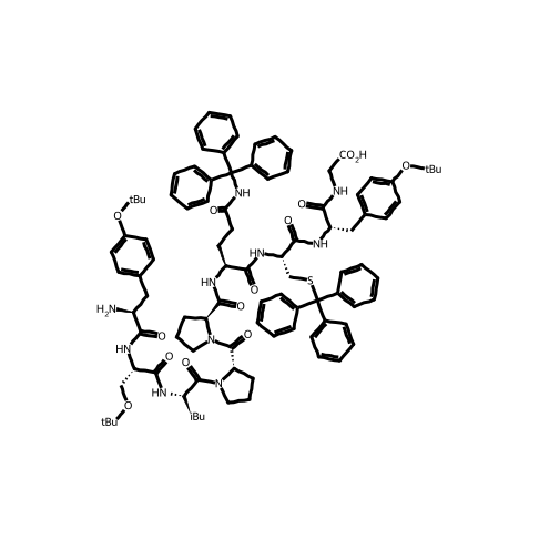 CC[C@H](C)[C@H](NC(=O)[C@H](COC(C)(C)C)NC(=O)[C@@H](N)Cc1ccc(OC(C)(C)C)cc1)C(=O)N1CCC[C@H]1C(=O)N1CCC[C@H]1C(=O)N[C@@H](CCC(=O)NC(c1ccccc1)(c1ccccc1)c1ccccc1)C(=O)N[C@@H](CSC(c1ccccc1)(c1ccccc1)c1ccccc1)C(=O)N[C@@H](Cc1ccc(OC(C)(C)C)cc1)C(=O)NCC(=O)O